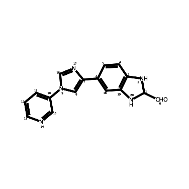 O=CC1Nc2ccc(-c3cn(-c4cccnc4)cn3)cc2N1